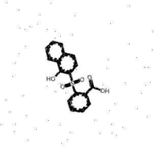 O=C(O)c1ccccc1S(=O)(=O)c1ccc2ccccc2c1O